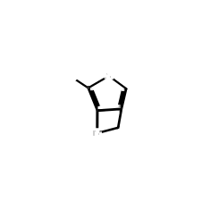 Cc1[nH]cc2c1NC2